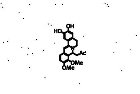 COc1ccc2c(c1OC)C(CC(C)=O)N1CCc3cc(O)c(O)cc3C1=C2